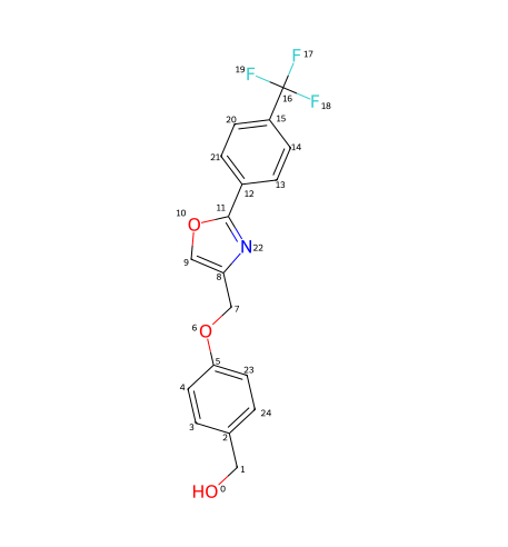 OCc1ccc(OCc2coc(-c3ccc(C(F)(F)F)cc3)n2)cc1